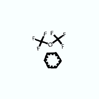 FC(F)(F)OC(F)(F)F.c1ccccc1